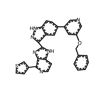 c1ccc(COc2cncc(-c3ccc4[nH]nc(-c5nc6c(-c7ccsc7)nccc6[nH]5)c4c3)c2)cc1